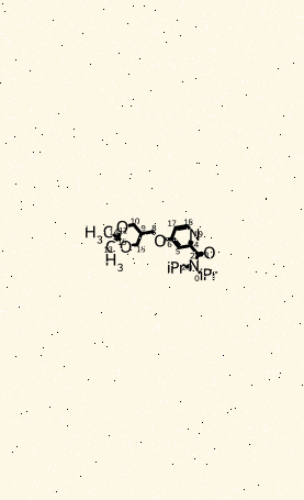 CC(C)N(C(=O)c1cc(OCC2COC(C)(C)OC2)ccn1)C(C)C